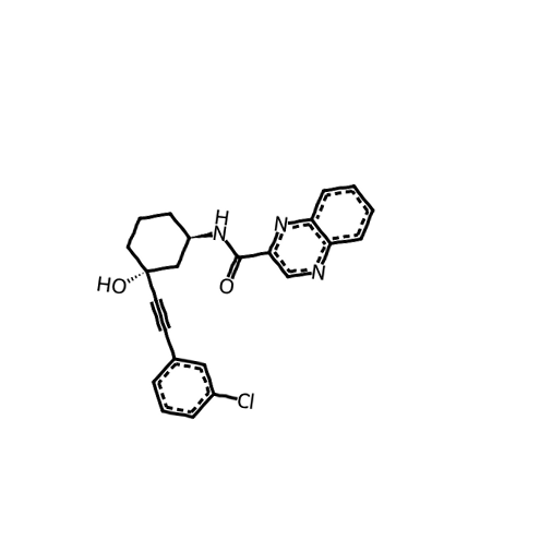 O=C(N[C@@H]1CCC[C@](O)(C#Cc2cccc(Cl)c2)C1)c1cnc2ccccc2n1